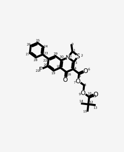 CC1Sc2c(C(=O)OCOC(=O)C(C)(C)C)c(=O)c3cc(F)c(-c4ccccc4)cc3n21